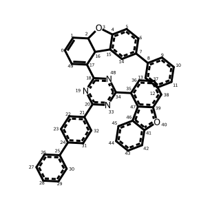 C1=CC2Oc3ccc(-c4ccccc4)cc3C2C(c2nc(-c3ccc(-c4ccccc4)cc3)nc(-c3cccc4oc5ccccc5c34)n2)=C1